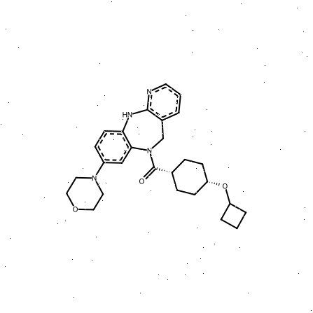 O=C([C@H]1CC[C@@H](OC2CCC2)CC1)N1Cc2cccnc2Nc2ccc(N3CCOCC3)cc21